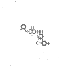 Fc1ccc(Cl)c(-c2ccc(N[C@@H]3C[C@@H]4CN(Cc5ccccc5F)C[C@@H]4C3)nn2)c1